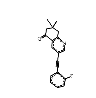 CC1(C)CC(=O)c2cc(C#Cc3ccccc3F)cnc2C1